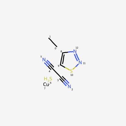 CC.N#CC#N.S.[Cu].c1csnn1